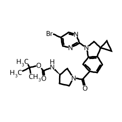 CC(C)(C)OC(=O)N[C@@H]1CCN(C(=O)c2ccc3c(c2)N(c2ncc(Br)cn2)CC32CC2)C1